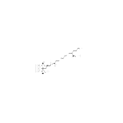 O=C(CCSCCOCC(CCCO)C(=O)O)NCCCC(O)(P(=O)(O)O)P(=O)(O)O